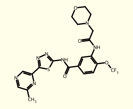 Cc1cncc(-c2nnc(NC(=O)c3ccc(OC(F)(F)F)c(NC(=O)CN4CCOCC4)c3)s2)n1